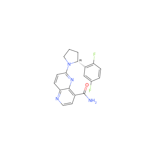 NC(=O)c1ccnc2ccc(N3CCC[C@@H]3c3cc(F)ccc3F)nc12